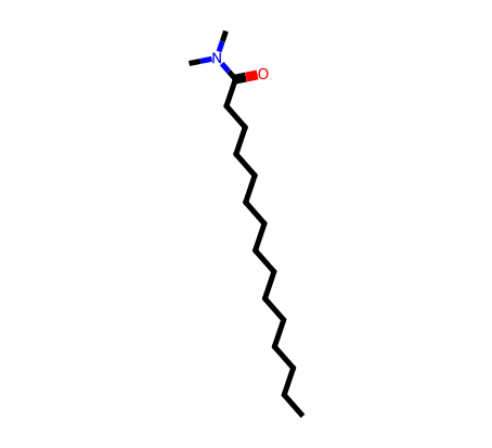 CCCCCCCCCCCCCCC(=O)N(C)C